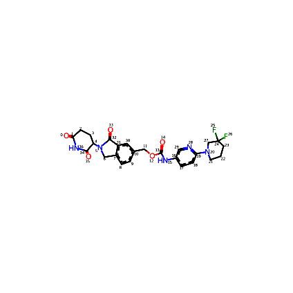 O=C1CCC(N2Cc3ccc(COC(=O)Nc4ccc(N5CCCC(F)(F)C5)nc4)cc3C2=O)C(=O)N1